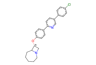 Clc1ccc(-c2ccc(-c3ccc(O[C@@H]4CN5CCCCCC45)cc3)nc2)cc1